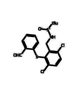 CC(C)(C)[S+]([O-])NCc1c(Cl)ccc(Cl)c1Sc1ccccc1C=O